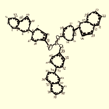 c1ccc2cc(-c3ccc(OB(Oc4ccc(-c5ccc6ccccc6c5)cc4)Oc4ccc(-c5ccc6ccccc6c5)cc4)cc3)ccc2c1